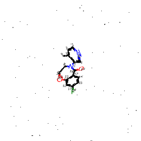 Cc1ccncc1N1CCOc2cc(F)ccc2C1=O